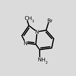 Cc1cnc2c(N)ccc(Br)n12